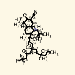 CCCC(C)(C)CC[C@@](C)(CCC(C)(C)[C@]1(C)CC[C@H]2C(C)(C)C(=O)C(C#N)=C[C@]2(C)/C1=C/C(C)=O)NC(=O)CC(F)(F)F